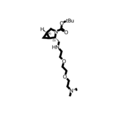 C=[N+](C)CCOCCOCCNC[C@@H]1C2C[C@H]2CN1C(=O)OC(C)(C)C